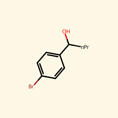 CCCC(O)c1ccc(Br)cc1